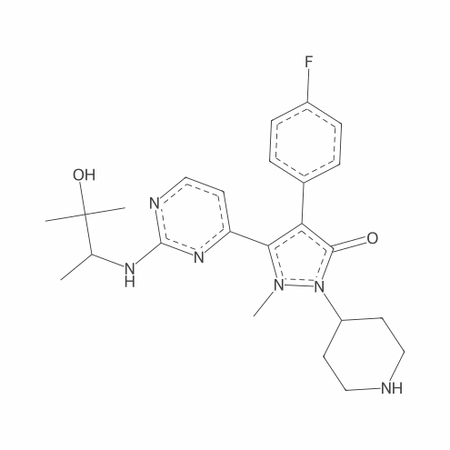 CC(Nc1nccc(-c2c(-c3ccc(F)cc3)c(=O)n(C3CCNCC3)n2C)n1)C(C)(C)O